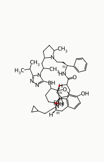 CC(C)c1nnc(BC2CC[C@@]3(O)[C@H]4Cc5ccc(O)c6c5[C@@]3(CCN4CC3CC3)[C@H]2O6)n1C(C)CC1CCC(C)N1CC[C@H](NC(=O)C1CCC(F)(F)CC1)c1ccccc1